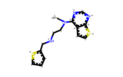 CCCN(CCNCc1cccs1)c1ncnc2sccc12